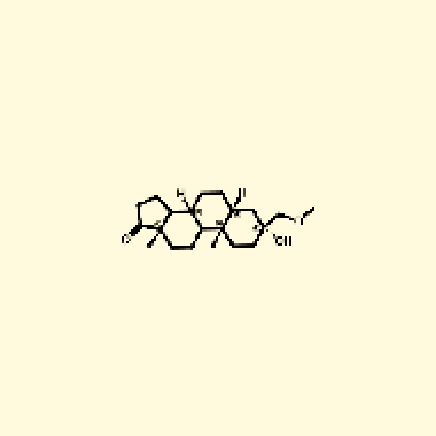 COC[C@@]1(O)CC[C@]2(C)C3CC[C@]4(C)C(=O)CCC4[C@@H]3CC[C@@H]2C1